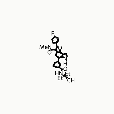 C#CC(CC)(CC)NC(=O)c1cccc(-c2cc3c(C(=O)NC)c(-c4ccc(F)cc4)oc3c3cc[nH]c23)c1